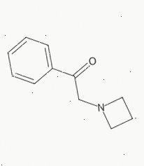 O=C(CN1C[CH]C1)c1ccccc1